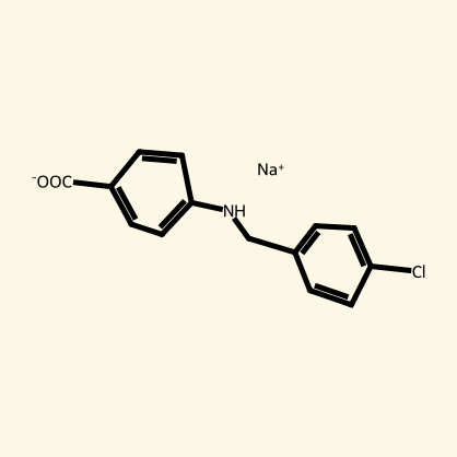 O=C([O-])c1ccc(NCc2ccc(Cl)cc2)cc1.[Na+]